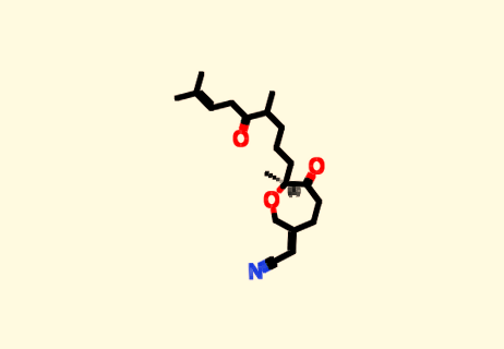 CC(C)=CCC(=O)C(C)CCC[C@]1(C)OCC(=CC#N)CCC1=O